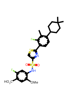 COc1cc(C(=O)O)c(F)cc1NS(=O)(=O)c1csc(-c2ccc(C3CCC(C)(C)CC3)c(C)c2F)n1